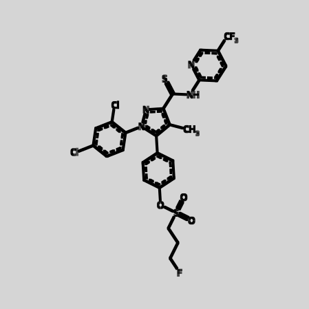 Cc1c(C(=S)Nc2ccc(C(F)(F)F)cn2)nn(-c2ccc(Cl)cc2Cl)c1-c1ccc(OS(=O)(=O)CCCF)cc1